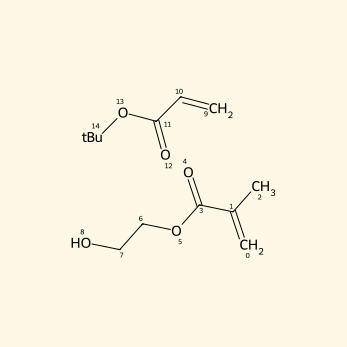 C=C(C)C(=O)OCCO.C=CC(=O)OC(C)(C)C